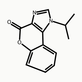 CC(C)n1cnc2c(=O)oc3ccccc3c21